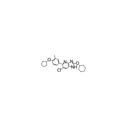 Cc1cc(-c2nc3nc(OC4CCCCC4)[nH]c3cc2Cl)ccc1OC1CCCC1